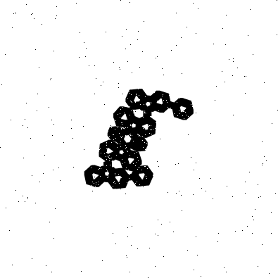 c1ccc(-c2ccc3c4ccccc4n(-c4cccc5c4-c4ccccc4C54c5ccccc5C5(c6ccccc6-c6c(-n7c8ccccc8c8ccc(-c9ccccc9)cc87)cccc65)c5ccccc54)c3c2)cc1